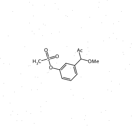 COC(C(C)=O)c1cccc(OS(C)(=O)=O)c1